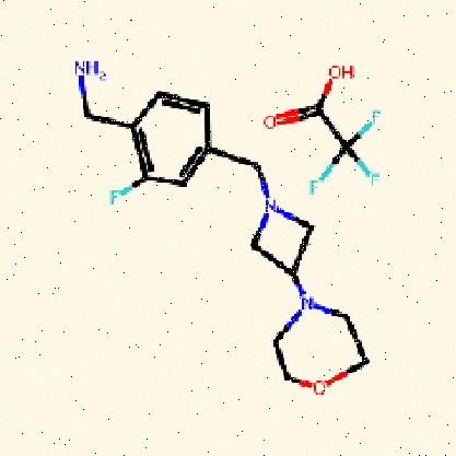 NCc1ccc(CN2CC(N3CCOCC3)C2)cc1F.O=C(O)C(F)(F)F